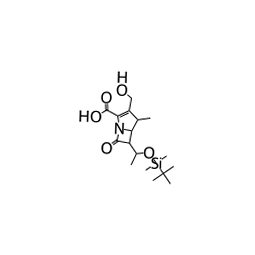 CC(O[Si](C)(C)C(C)(C)C)C1C(=O)N2C(C(=O)O)=C(CO)C(C)C12